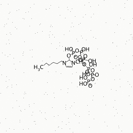 CCCCCCN1C=CN(C)C1OP(=O)(O)OP(=O)(O)OP(=O)(O)OP(=O)(O)OP(=O)(O)OP(=O)(O)O